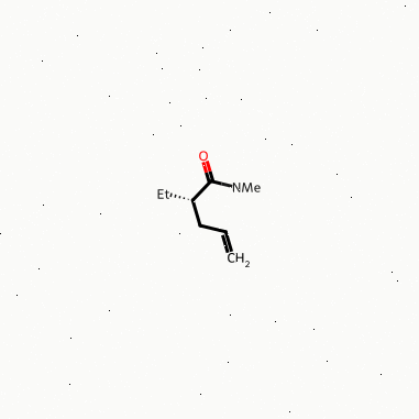 C=CC[C@H](CC)C(=O)NC